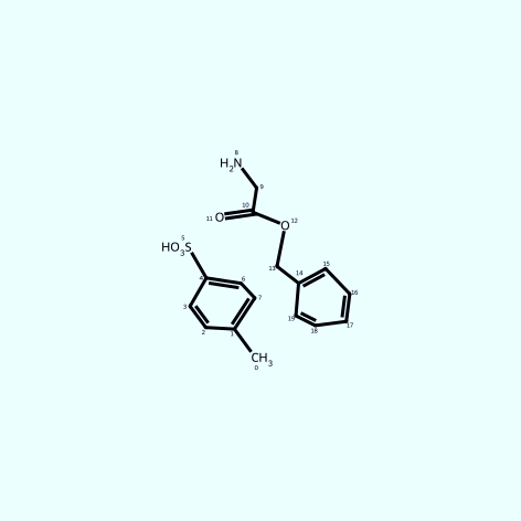 Cc1ccc(S(=O)(=O)O)cc1.NCC(=O)OCc1ccccc1